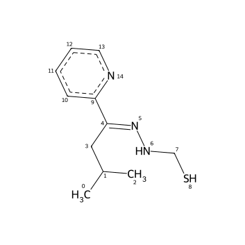 CC(C)CC(=NNCS)c1ccccn1